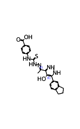 CN/C(=C(/O)C(=N)/C(C)=N/NC(=S)Nc1ccc(C(=O)O)cc1)c1ccc2c(c1)CCC2